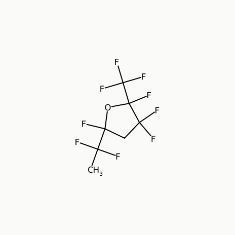 CC(F)(F)C1(F)CC(F)(F)C(F)(C(F)(F)F)O1